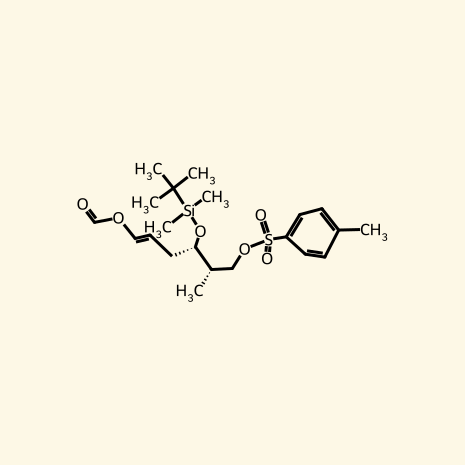 Cc1ccc(S(=O)(=O)OC[C@H](C)[C@H](C/C=C/OC=O)O[Si](C)(C)C(C)(C)C)cc1